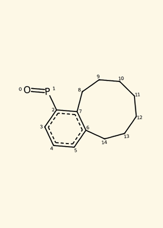 O=Pc1cccc2c1CCCCCCC2